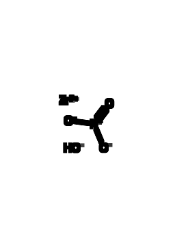 O=[N+]([O-])[O-].[OH-].[Zr+2]